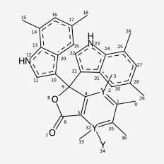 C[C]1=[Y]([CH3])[C]2=[C](C(=O)OC2(c2c[nH]c3c(C)cc(C)cc23)c2c[nH]c3c(C)cc(C)cc23)[Y]([CH3])([Y])=[C]1C